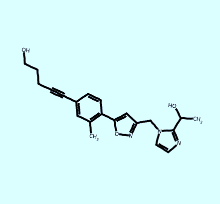 Cc1cc(C#CCCCO)ccc1-c1cc(Cn2ccnc2C(C)O)no1